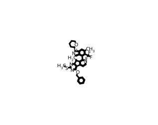 C=C1c2nc(SC)nc(OCc3ccccc3)c2-c2ccnc(-c3c(C(F)(F)F)c(C)cc4c3cnn4C3CCCCO3)c21